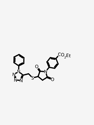 CCOC(=O)c1ccc(N2C(=O)CC(SCc3nnnn3-c3ccccc3)C2=O)cc1